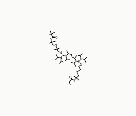 CCC(=O)SC(C)(C)COCCSP(N(C(C)C)C(C)C)N(C(C)C)C(C)CCC(C)N(C(C)C)P(SCC(C)(C)OCC(C)(C)SC(=O)C(C)(C)C)N(C(C)C)C(C)C